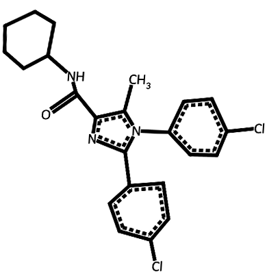 Cc1c(C(=O)NC2CCCCC2)nc(-c2ccc(Cl)cc2)n1-c1ccc(Cl)cc1